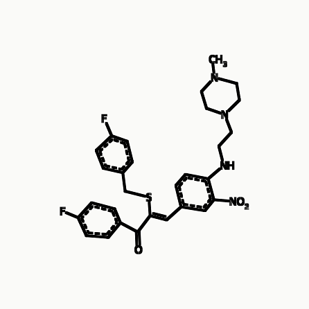 CN1CCN(CCNc2ccc(C=C(SCc3ccc(F)cc3)C(=O)c3ccc(F)cc3)cc2[N+](=O)[O-])CC1